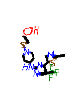 Cc1ncc(-c2nc(NC3CCN(SCCO)CC3)ncc2C(F)(F)F)s1